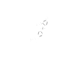 CCc1ccc(/N=N/c2ccc(C(=O)O)cc2)c(O)c1